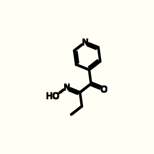 CCC(=NO)C(=O)c1ccncc1